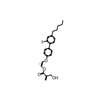 C=C(CO)C(=O)O/C=C\Oc1ccc(-c2ccc(CCCCC)cc2F)cc1